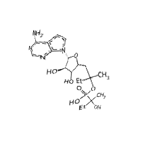 CCC(C)(CC1O[C@@H](n2ccc3c(N)ncnc32)[C@H](O)C1O)OP(=O)(O)C(C)(O)CC